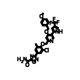 COc1ccc(COc2cc(COc3c(C)cc(-c4noc(C(N)=O)n4)cc3Cl)ncc2-c2cc(C(F)(F)F)c[nH]2)cc1